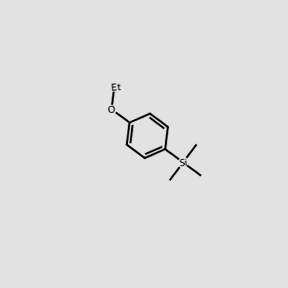 CCOc1ccc([Si](C)(C)C)cc1